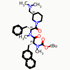 CN(C)C[C@H]1CCCN(C(=O)[C@@H](Cc2ccccc2)N(C)C(=O)[C@@H](Cc2ccc3ccccc3c2)N(C)C(=O)OC(C)(C)C)C1